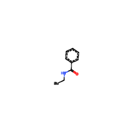 CCC(C)CNC(=O)c1ccccc1